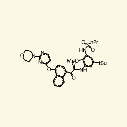 CCCS(=O)(=O)Nc1cc(C(C)(C)C)cc(NC(=O)C(=O)c2ccc(Oc3ccnc(N4CCOCC4)n3)c3ccccc23)c1OC